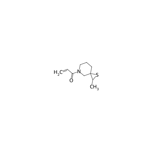 C=CC(=O)N1CCCC2(C1)SC2C